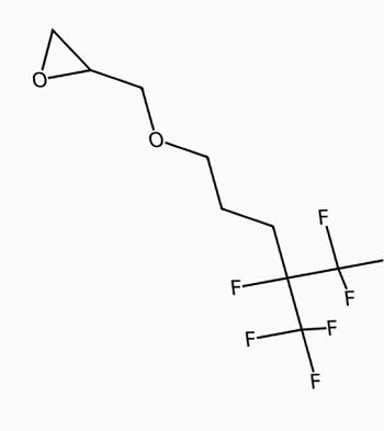 FC(F)(F)C(F)(CCCOCC1CO1)C(F)(F)F